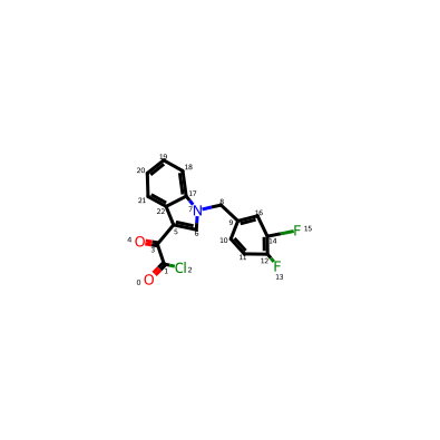 O=C(Cl)C(=O)c1cn(Cc2ccc(F)c(F)c2)c2ccccc12